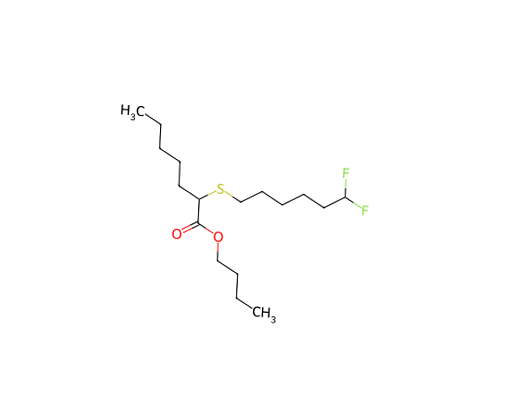 CCCCCC(SCCCCCC(F)F)C(=O)OCCCC